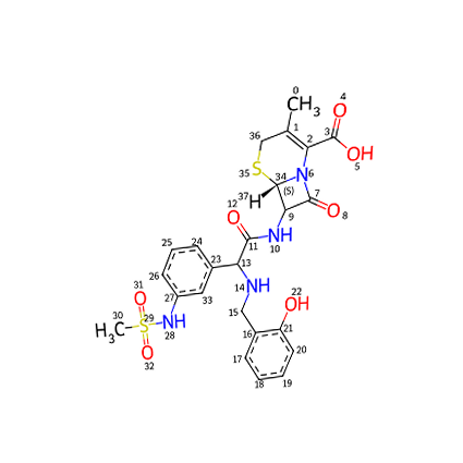 CC1=C(C(=O)O)N2C(=O)C(NC(=O)C(NCc3ccccc3O)c3cccc(NS(C)(=O)=O)c3)[C@@H]2SC1